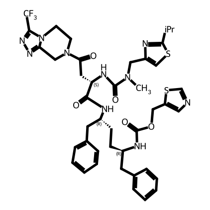 CC(C)c1nc(CN(C)C(=O)N[C@@H](CC(=O)N2CCn3c(nnc3C(F)(F)F)C2)C(=O)N[C@H](CC[C@H](Cc2ccccc2)NC(=O)OCc2cncs2)Cc2ccccc2)cs1